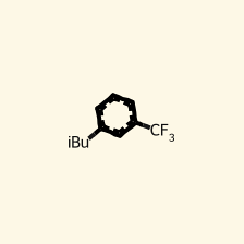 [CH2]C(CC)c1cccc(C(F)(F)F)c1